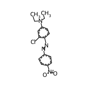 CCN(CC)c1ccc(N=Nc2ccc([N+](=O)[O-])cc2)c(Cl)c1